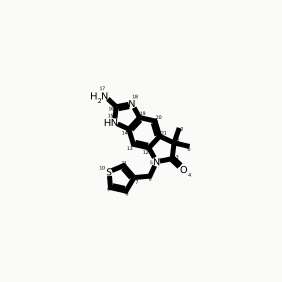 CC1(C)C(=O)N(Cc2ccsc2)c2cc3[nH]c(N)nc3cc21